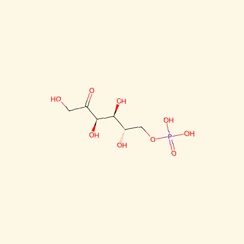 O=C(CO)[C@H](O)[C@@H](O)[C@@H](O)COP(=O)(O)O